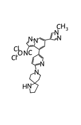 ClOCl.Cn1cc(-c2cc(-c3ccc(N4CCC5(CCCN5)CC4)nc3)c3c(C#N)cnn3c2)cn1